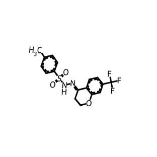 Cc1ccc(S(=O)(=O)NN=C2CCOc3cc(C(F)(F)F)ccc32)cc1